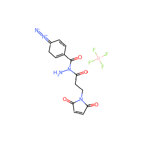 F[B-](F)(F)F.[N-]=[N+]=C1C=CC(C(=O)N(N)C(=O)CCN2C(=O)C=CC2=O)=CC1